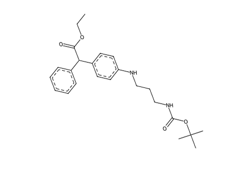 CCOC(=O)C(c1ccccc1)c1ccc(NCCCNC(=O)OC(C)(C)C)cc1